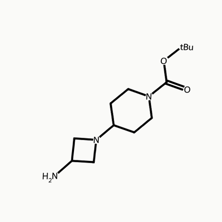 CC(C)(C)OC(=O)N1CCC(N2CC(N)C2)CC1